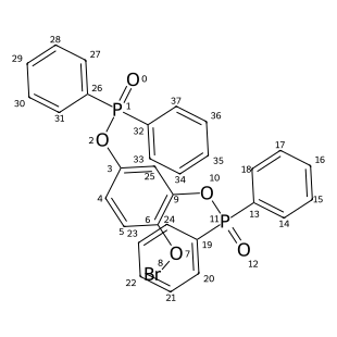 O=P(Oc1ccc(OBr)c(OP(=O)(c2ccccc2)c2ccccc2)c1)(c1ccccc1)c1ccccc1